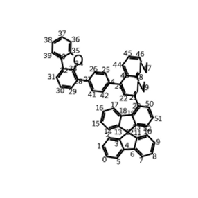 c1ccc2c(c1)-c1ccccc1C21c2ccccc2-c2c(-c3cc(-c4ccc(-c5cccc6c5oc5ccccc56)cc4)c4cccnc4n3)cccc21